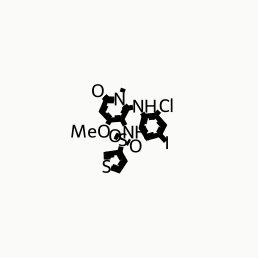 COc1cc(=O)n(C)c(Nc2ccc(I)cc2Cl)c1NS(=O)(=O)c1ccsc1